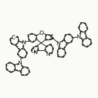 c1cnc2c(c1)C1(c3cc(-n4c5ccccc5c5cc(-n6c7ccccc7c7ccccc76)ccc54)ccc3Oc3ccc(-n4c5ccccc5c5cc(-n6c7ccccc7c7ccccc76)ccc54)cc31)c1cccnc1-2